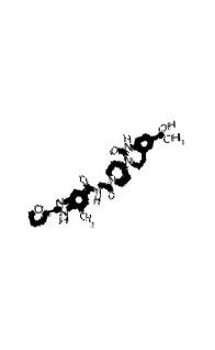 Cc1cc(C(=O)NCC(=O)N2CCC(N3CCc4cc(C(C)O)ccc4NC3=O)CC2)cc2nc([C@H]3CCCO3)[nH]c12